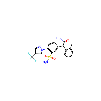 Cc1ccccc1C(C(N)=O)c1ccc(-n2cc(C(F)(F)F)cn2)c(S(N)(=O)=O)c1